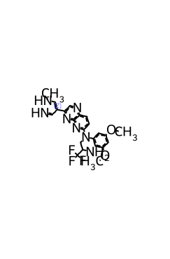 CN/C=C(\C=N)c1cnc2ccc(N(CC(N)C(F)(F)F)c3cc(OC)cc(OC)c3)nc2n1